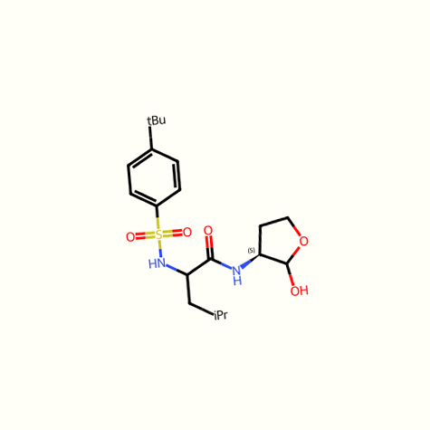 CC(C)CC(NS(=O)(=O)c1ccc(C(C)(C)C)cc1)C(=O)N[C@H]1CCOC1O